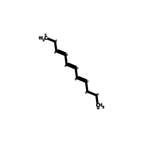 [CH2]CC=CC=CC=CCCC